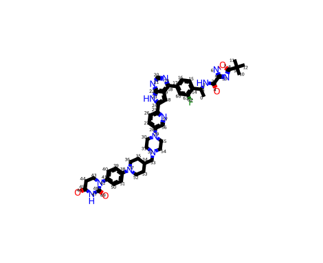 CC(NC(=O)c1noc(C(C)(C)C)n1)c1ccc(-c2ncnc3[nH]c(-c4ccc(N5CCN(CC6CCN(c7ccc(N8CCC(=O)NC8=O)cc7)CC6)CC5)cn4)cc23)cc1F